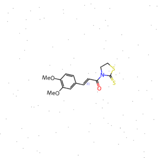 COc1ccc(/C=C/C(=O)N2CCSC2=S)cc1OC